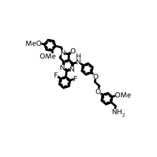 COc1ccc(CN2Cc3nc(-c4c(F)cccc4F)nc(Nc4ccc(OCCOc5ccc(CN)c(OC)c5)cc4)c3C2=O)c(OC)c1